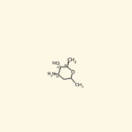 CC1C[C@@H](N)[C@H](O)[C@@H](C)O1